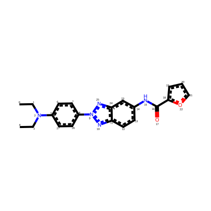 CCN(CC)c1ccc(-n2nc3ccc(NC(=O)c4ccco4)cc3n2)cc1